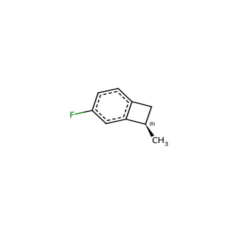 C[C@@H]1Cc2ccc(F)cc21